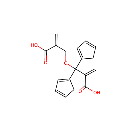 C=C(COC(C(=C)C(=O)O)(C1=CC=CC1)C1=CC=CC1)C(=O)O